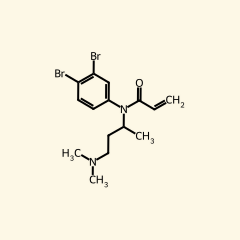 C=CC(=O)N(c1ccc(Br)c(Br)c1)C(C)CCN(C)C